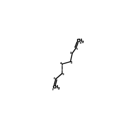 C=CC[CH]CCC=C